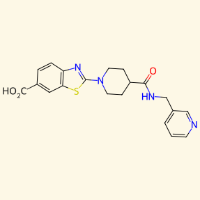 O=C(O)c1ccc2nc(N3CCC(C(=O)NCc4cccnc4)CC3)sc2c1